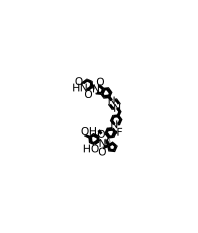 COc1cc(N2CCC(CN3CCN(c4ccc5c(c4)CN([C@H]4CCC(=O)NC4=O)C5=O)CC3)CC2)c(F)cc1[C@@H]1N(c2ccc(CO)cc2O)C(=O)C12CCCC2